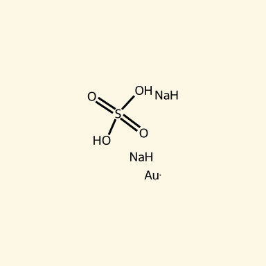 O=S(=O)(O)O.[Au].[NaH].[NaH]